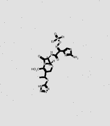 CCP(=O)(CC)ON=C(C(=O)N[C@@H]1C(=O)N2C(C(=O)O)=C(C(C)Sc3nnn[nH]3)CS[C@@H]12)c1csc(N)n1